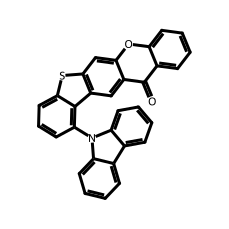 O=c1c2ccccc2oc2cc3sc4cccc(-n5c6ccccc6c6ccccc65)c4c3cc12